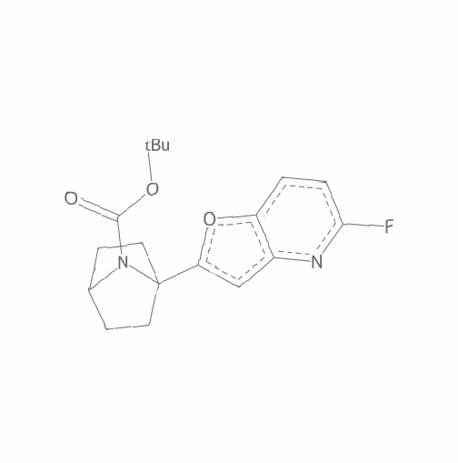 CC(C)(C)OC(=O)N1C2CCC1(c1cc3nc(F)ccc3o1)CC2